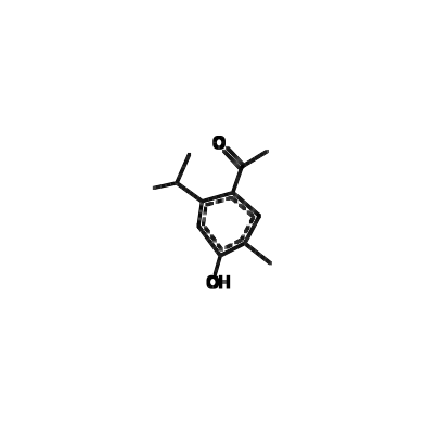 CC(=O)c1cc(C)c(O)cc1C(C)C